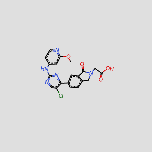 COc1cc(Nc2ncc(Cl)c(-c3ccc4c(c3)C(=O)N(CC(=O)O)C4)n2)ccn1